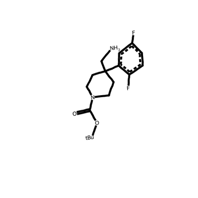 CC(C)(C)OC(=O)N1CCC(CN)(c2cc(F)ccc2F)CC1